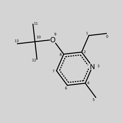 CCc1nc(C)ccc1OC(C)(C)C